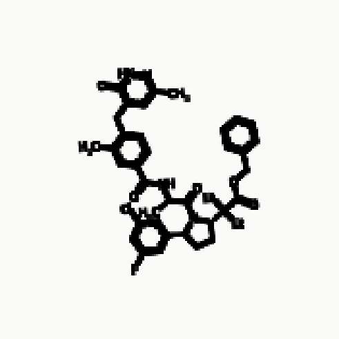 CCC(CC)(C(=O)OCc1ccccc1)[C@H]1CC[C@@H](c2cc(F)cc(Cl)c2)N1C(=O)[C@@H](C)NC(=O)c1ccc(Cc2cc(C)n[nH]c2=O)c(C)c1